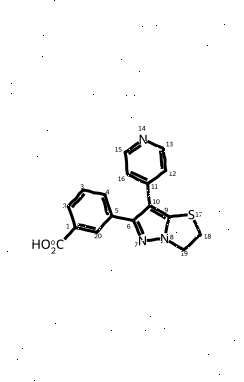 O=C(O)c1cccc(-c2nn3c(c2-c2ccncc2)SCC3)c1